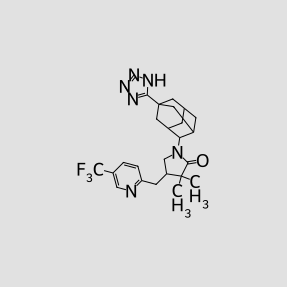 CC1(C)C(=O)N(C2C3CC4CC2CC(c2nnn[nH]2)(C4)C3)CC1Cc1ccc(C(F)(F)F)cn1